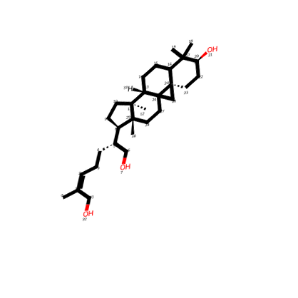 CC(=CCC[C@@H](CO)[C@H]1CC[C@@]2(C)[C@@H]3CCC4C(C)(C)[C@@H](O)CC[C@@]45CC35CC[C@]12C)CO